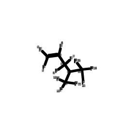 FC(F)=C(F)C(F)(F)C(C(F)(F)F)C(F)(F)F